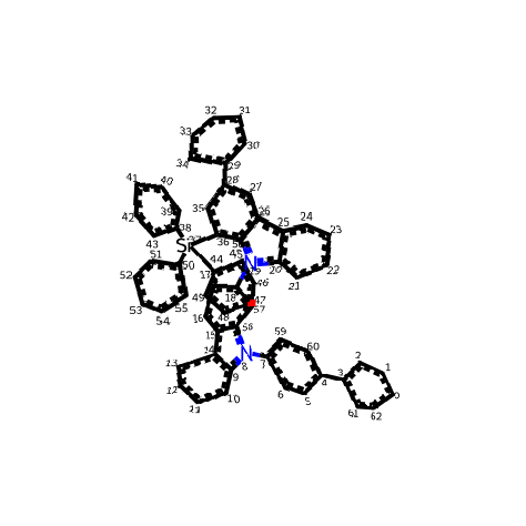 c1ccc(-c2ccc(-n3c4ccccc4c4ccc(-n5c6ccccc6c6cc(-c7ccccc7)cc([Si](c7ccccc7)(c7ccccc7)c7ccccc7)c65)cc43)cc2)cc1